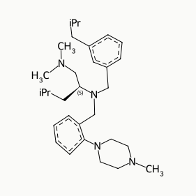 CC(C)Cc1cccc(CN(Cc2ccccc2N2CCN(C)CC2)[C@@H](CC(C)C)CN(C)C)c1